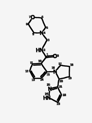 O=C(NCN1CCOCC1)c1ccccc1N1CCCC1c1cc[nH]n1